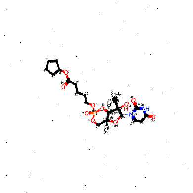 C#C[C@@]1(O)[C@@H]2O[P@](=O)(OCCCCC(=O)OC3CCCC3)OC[C@H]2O[C@H]1n1ccc(=O)[nH]c1=O